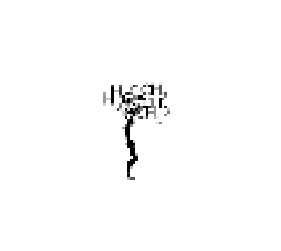 CC(C)(C)[Si](C)(C)OCCC#CCCCl